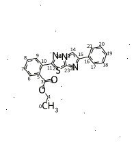 CCOC(=O)c1ccccc1-c1nn2cc(-c3ccccc3)nc2s1